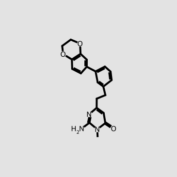 Cn1c(N)nc(CCc2cccc(-c3ccc4c(c3)OCCO4)c2)cc1=O